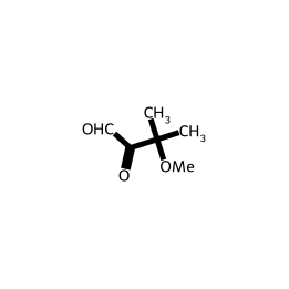 COC(C)(C)C(=O)C=O